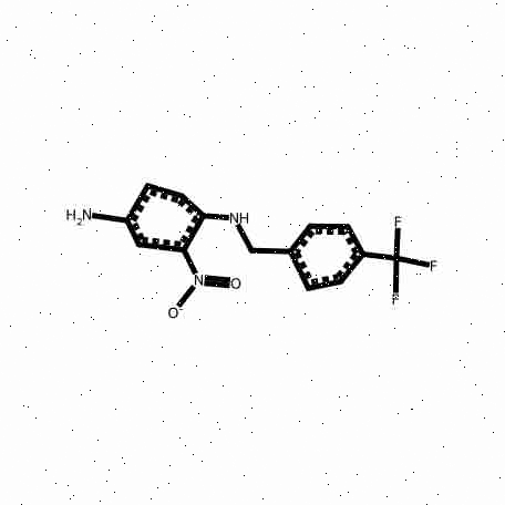 Nc1ccc(NCc2ccc(C(F)(F)F)cc2)c([N+](=O)[O-])c1